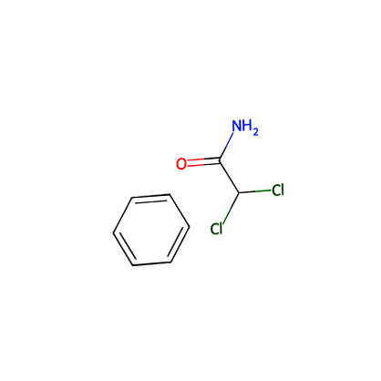 NC(=O)C(Cl)Cl.c1ccccc1